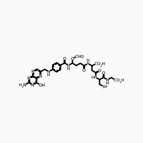 Nc1nc(O)c2nc(CNc3ccc(C(=O)NC(CCC(=O)NC(CC(=O)NC(CS)C(=O)NCC(=O)O)C(=O)O)OC=O)cc3)cnc2n1